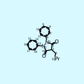 CC(C)CC1C(=O)N(c2ccccc2)N(c2ccccc2)C1=O